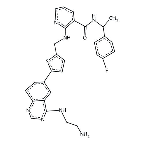 CC(NC(=O)c1cccnc1NCc1ccc(-c2ccc3ncnc(NCCN)c3c2)s1)c1ccc(F)cc1